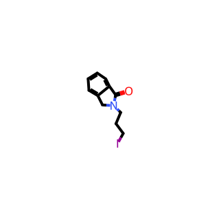 O=C1c2ccccc2CN1CCCI